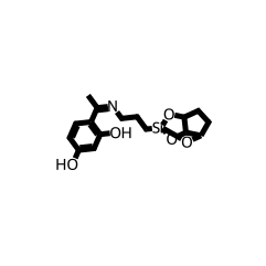 C/C(=N/CCC[Si]12OC3CCC(O1)C3O2)c1ccc(O)cc1O